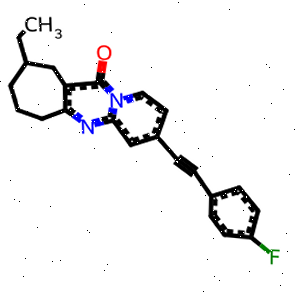 CCC1CCCc2nc3cc(C#Cc4ccc(F)cc4)ccn3c(=O)c2C1